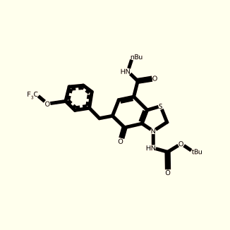 CCCCNC(=O)C1=CC(Cc2cccc(OC(F)(F)F)c2)C(=O)C2=C1SCN2NC(=O)OC(C)(C)C